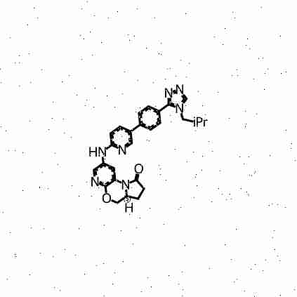 CC(C)Cn1cnnc1-c1ccc(-c2ccc(Nc3cnc4c(c3)N3C(=O)CC[C@H]3CO4)nc2)cc1